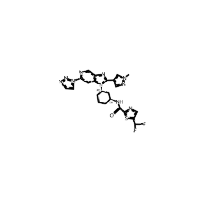 Cn1cc(-c2nc3cnc(-n4ccnn4)cc3n2[C@@H]2CCC[C@H](NC(=O)c3ncc(C(F)F)s3)C2)cn1